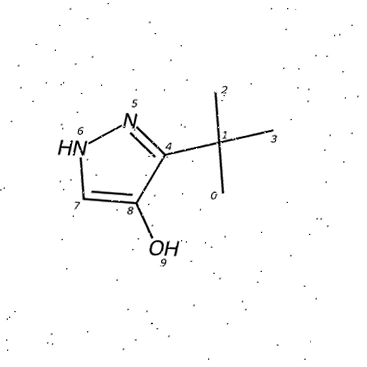 CC(C)(C)c1n[nH]cc1O